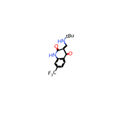 CC(C)(C)N/C=C1\C(=O)Nc2cc(C(F)(F)F)ccc2C1=O